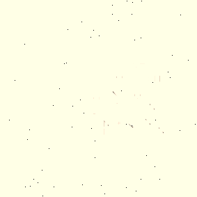 CC1(C)OC[C@H]([C@@H](Cn2nccn2)NC(=O)OCc2ccccc2)O1